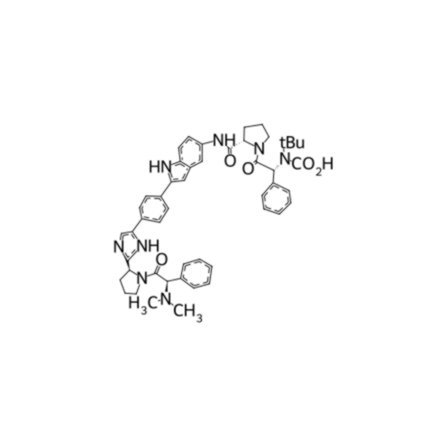 CN(C)[C@@H](C(=O)N1CCC[C@H]1c1ncc(-c2ccc(-c3cc4cc(NC(=O)[C@@H]5CCCN5C(=O)[C@@H](c5ccccc5)N(C(=O)O)C(C)(C)C)ccc4[nH]3)cc2)[nH]1)c1ccccc1